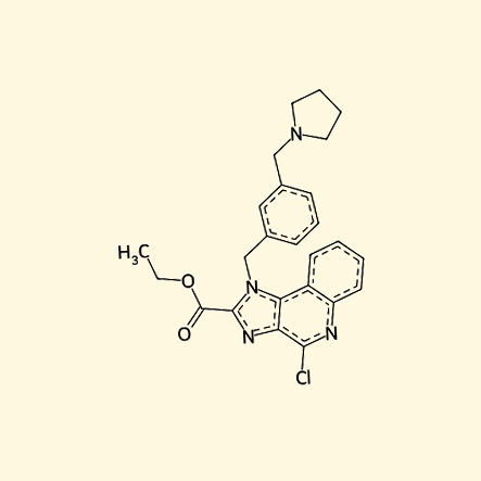 CCOC(=O)c1nc2c(Cl)nc3ccccc3c2n1Cc1cccc(CN2CCCC2)c1